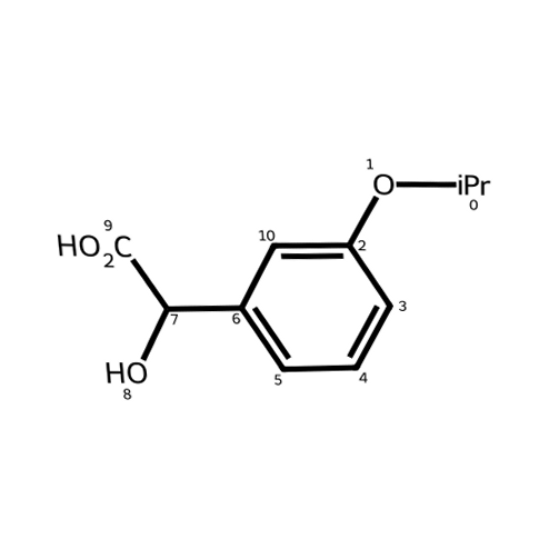 CC(C)Oc1cccc(C(O)C(=O)O)c1